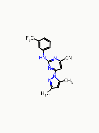 Cc1cc(C)n(-c2cc(C#N)nc(Nc3cccc(C(F)(F)F)c3)n2)n1